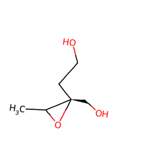 CC1O[C@@]1(CO)CCO